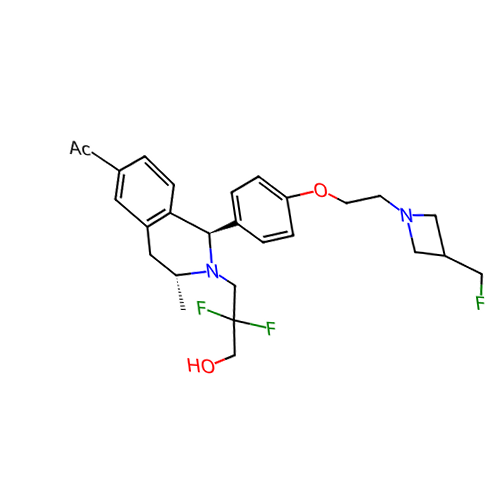 CC(=O)c1ccc2c(c1)C[C@@H](C)N(CC(F)(F)CO)[C@@H]2c1ccc(OCCN2CC(CF)C2)cc1